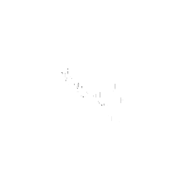 CCC[CH2][Sn](/[CH]=C/CNc1ccc2nn(-c3ccc(N(C)C)cc3)nc2c1)([CH2]CCC)[CH2]CCC